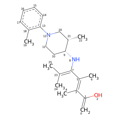 C=C(O)/C(C)=C(\C)C(N[C@@H]1CCN(c2ccccc2C)C[C@@H]1C)=C(C)C